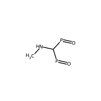 CNC(P=O)P=O